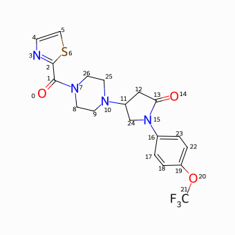 O=C(c1nccs1)N1CCN(C2CC(=O)N(c3ccc(OC(F)(F)F)cc3)C2)CC1